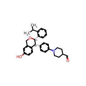 CC(C)c1ccccc1[C@H]1OCc2cc(O)ccc2[C@H]1c1ccc(N2CCC(C=O)CC2)cc1